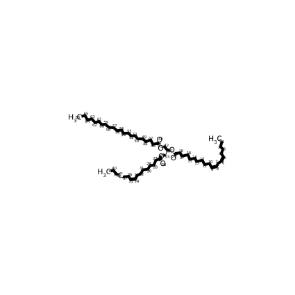 CCCCC/C=C\C/C=C\CCCCCCCCCC(=O)O[C@H](COC(=O)CCCCCCC/C=C\CCCCCC)COC(=O)CCCCCCCCCCCCCCCCCCCCC